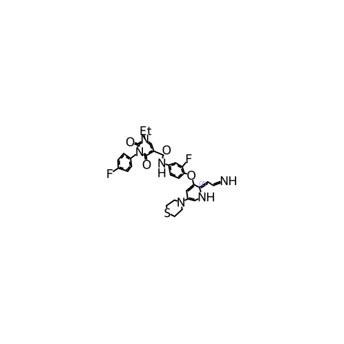 CCn1cc(C(=O)Nc2ccc(OC3=CC(N4CCSCC4)=CN/C3=C\C=N)c(F)c2)c(=O)n(-c2ccc(F)cc2)c1=O